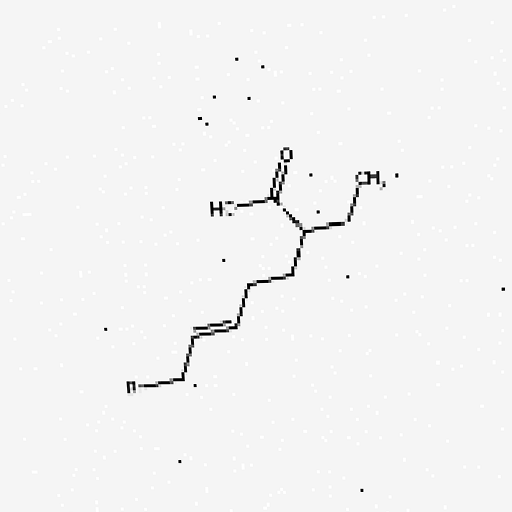 CCC(CCC=CCBr)C(=O)O